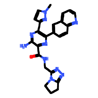 Cn1ccc(-c2nc(N)c(C(=O)NCc3nnc4n3CCC4)nc2-c2ccc3ncccc3c2)n1